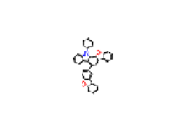 c1ccc(-n2c3ccccc3c3c(-c4ccc5oc6ccccc6c5c4)cc4c5ccccc5oc4c32)cc1